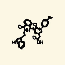 O=C(O)CC1CN(Cc2ccccc2C(=O)NCCc2c[nH]c3ccccc23)C(=O)N(c2ccc(Br)cc2)C1